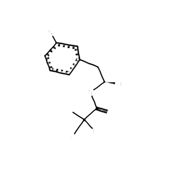 C[C@H](Cc1cccc(N)c1)NC(=O)C(F)(F)F